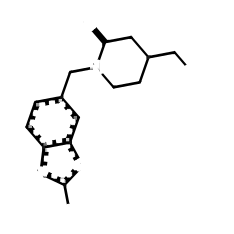 O=C1CC(CO)CCN1Cc1ccc2nc(S)sc2c1